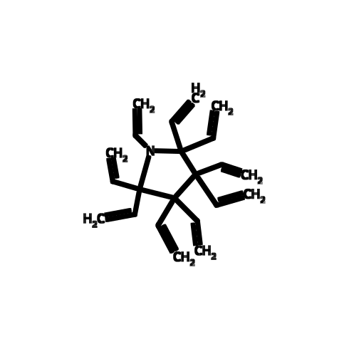 C=CN1C(C=C)(C=C)C(C=C)(C=C)C(C=C)(C=C)C1(C=C)C=C